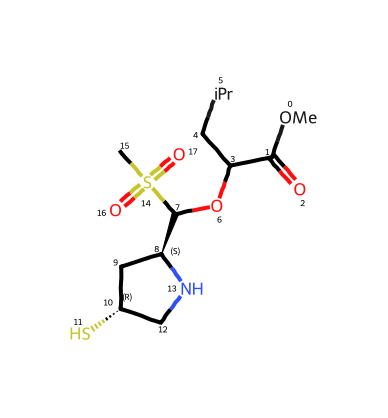 COC(=O)C(CC(C)C)OC([C@@H]1C[C@@H](S)CN1)S(C)(=O)=O